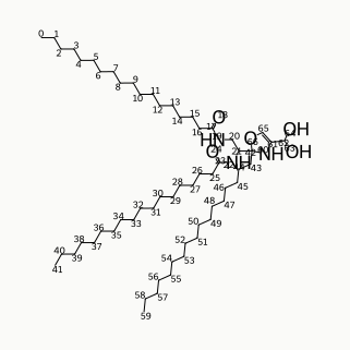 CCCCCCCCCCCCCCCCCC(=O)NCC(NC(=O)CCCCCCCCCCCCCCCCC)C1(CCCCCCCCCCCCCCCCC)NC(C(O)O)=CO1